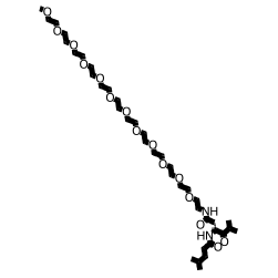 COCCOCCOCCOCCOCCOCCOCCOCCOCCOCCOCCOCCNC(=O)C[C@@H](NC(=O)CCC(C)C)C(=O)C(C)C